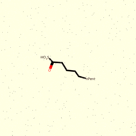 CCCCCCCCCC(=O)S(=O)(=O)O